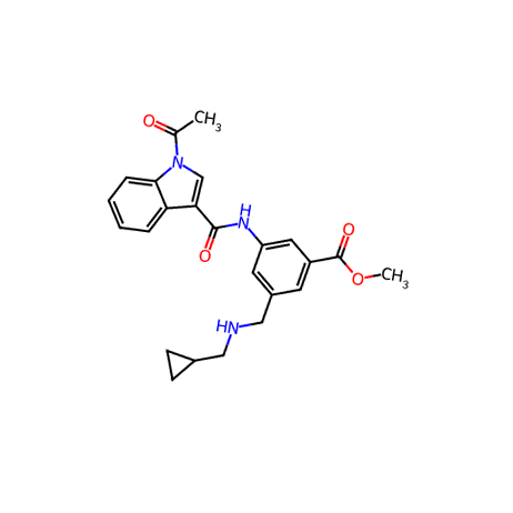 COC(=O)c1cc(CNCC2CC2)cc(NC(=O)c2cn(C(C)=O)c3ccccc23)c1